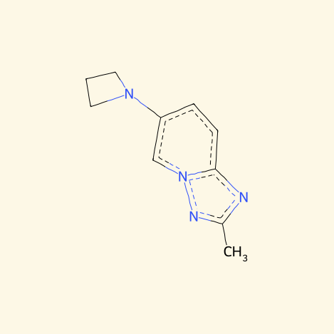 Cc1nc2ccc(N3CCC3)cn2n1